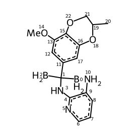 BC(B)(Nc1ncccc1N)c1cc(OC)c2c(c1)OC(C)CO2